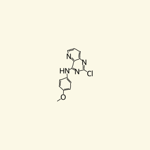 COc1ccc(Nc2nc(Cl)nc3cccnc23)cc1